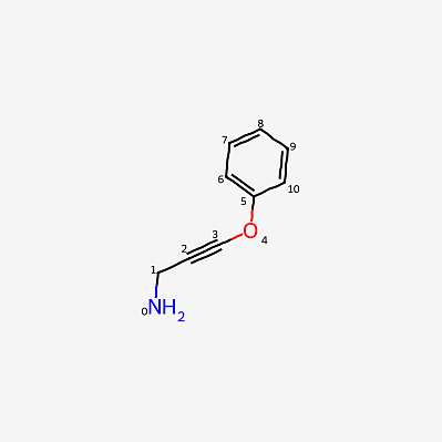 NCC#COc1ccccc1